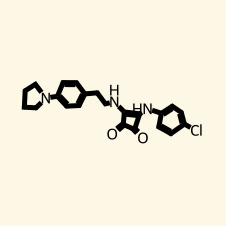 O=c1c(NCCc2ccc(N3CCCC3)cc2)c(Nc2ccc(Cl)cc2)c1=O